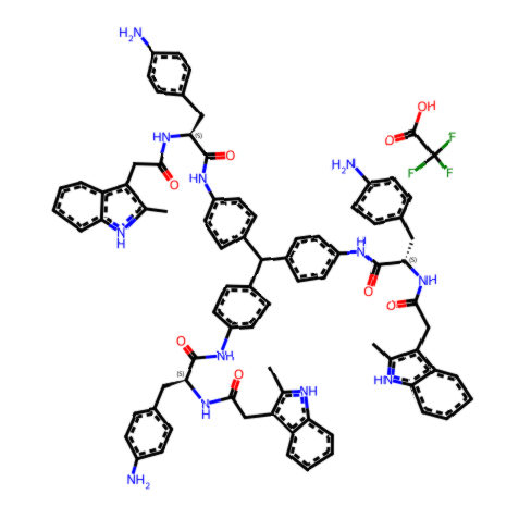 Cc1[nH]c2ccccc2c1CC(=O)N[C@@H](Cc1ccc(N)cc1)C(=O)Nc1ccc(C(c2ccc(NC(=O)[C@H](Cc3ccc(N)cc3)NC(=O)Cc3c(C)[nH]c4ccccc34)cc2)c2ccc(NC(=O)[C@H](Cc3ccc(N)cc3)NC(=O)Cc3c(C)[nH]c4ccccc34)cc2)cc1.O=C(O)C(F)(F)F